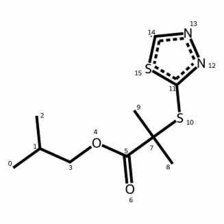 CC(C)COC(=O)C(C)(C)Sc1nn[c]s1